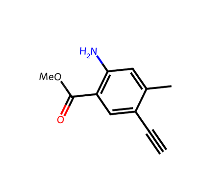 C#Cc1cc(C(=O)OC)c(N)cc1C